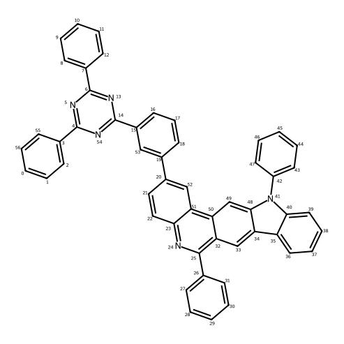 c1ccc(-c2nc(-c3ccccc3)nc(-c3cccc(-c4ccc5nc(-c6ccccc6)c6cc7c8ccccc8n(-c8ccccc8)c7cc6c5c4)c3)n2)cc1